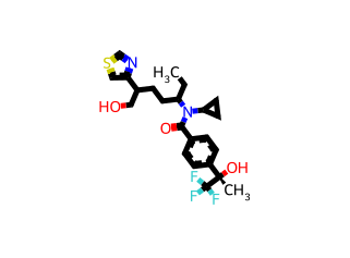 CCC(CCC(CO)c1cscn1)N(C(=O)c1ccc([C@](C)(O)C(F)(F)F)cc1)C1CC1